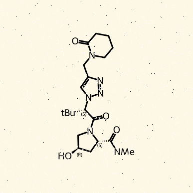 CNC(=O)[C@@H]1C[C@@H](O)CN1C(=O)[C@@H](n1cc(CN2CCCCC2=O)nn1)C(C)(C)C